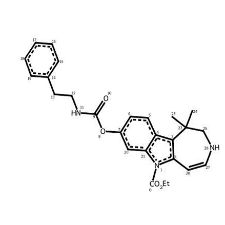 CCOC(=O)n1c2c(c3ccc(OC(=O)NCCc4ccccc4)cc31)C(C)(C)CNC=C2